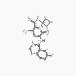 Cc1cc(Nc2ncnc3ccc(Cl)cc23)c(=O)n2c1C(=O)NC21CCC1